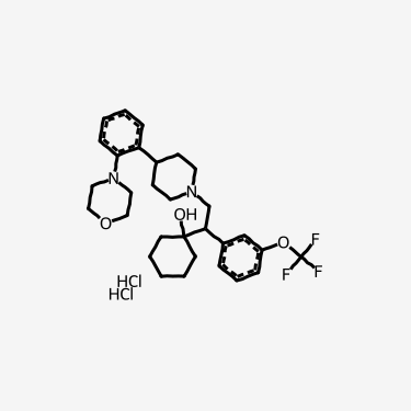 Cl.Cl.OC1(C(CN2CCC(c3ccccc3N3CCOCC3)CC2)c2cccc(OC(F)(F)F)c2)CCCCC1